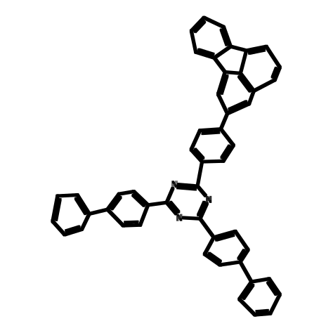 c1ccc(-c2ccc(-c3nc(-c4ccc(-c5ccccc5)cc4)nc(-c4ccc(-c5cc6c7c(cccc7c5)-c5ccccc5-6)cc4)n3)cc2)cc1